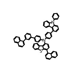 c1ccc(-n2c3ccccc3c3c(-c4ccc(N(c5ccc(-c6cccc(-c7cccc8ccccc78)c6)cc5)c5ccc(-c6cccc7ccccc67)c6sc7ccccc7c56)cc4)cccc32)cc1